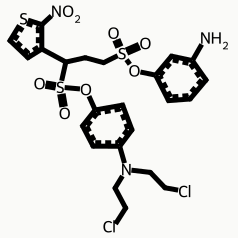 Nc1cccc(OS(=O)(=O)CCC(c2ccsc2[N+](=O)[O-])S(=O)(=O)Oc2ccc(N(CCCl)CCCl)cc2)c1